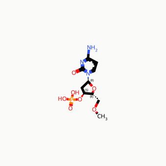 COC[C@H]1O[C@@H](n2ccc(N)nc2=O)C[C@@H]1OP(=O)(O)O